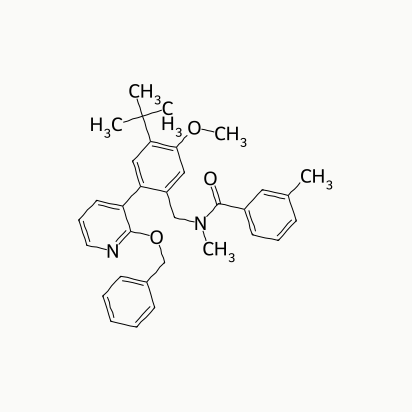 COc1cc(CN(C)C(=O)c2cccc(C)c2)c(-c2cccnc2OCc2ccccc2)cc1C(C)(C)C